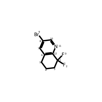 FC1(F)CCCc2cc(Br)cnc21